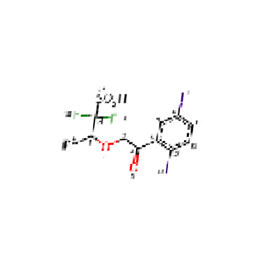 CC(C)C(OCC(=O)c1cc(I)ccc1I)C(F)(F)S(=O)(=O)O